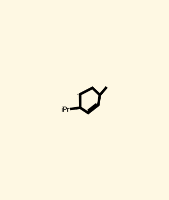 CC1C=CC(C(C)C)[CH]C1